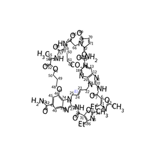 CCc1nc(C)oc1C(=O)Nc1nc2cc(C(N)=O)cnc2n1C/C=C/Cn1c(NC(=O)c2oc(C)nc2CC)nc2cc(C(N)=O)cc(OCCCOC(=O)[C@H](C)NC(=O)[C@@H](CCC(=O)O)NC(=O)CN3C(=O)C=CC3=O)c21